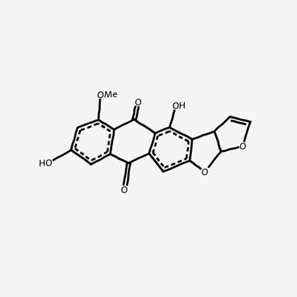 COc1cc(O)cc2c1C(=O)c1c(cc3c(c1O)C1C=COC1O3)C2=O